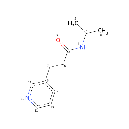 CC(C)NC(=O)CCc1cccnc1